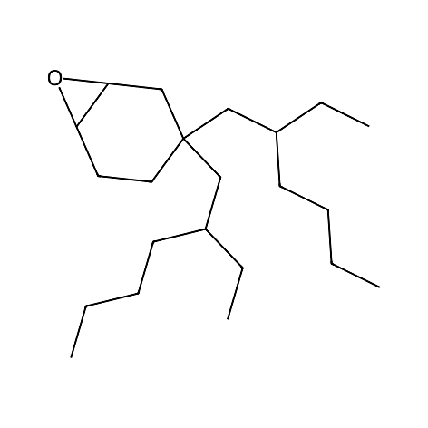 CCCCC(CC)CC1(CC(CC)CCCC)CCC2OC2C1